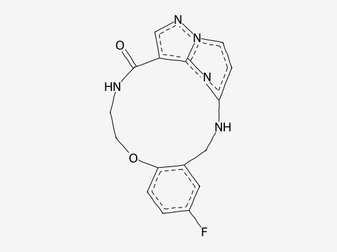 O=C1NCCOc2ccc(F)cc2CNc2ccn3ncc1c3n2